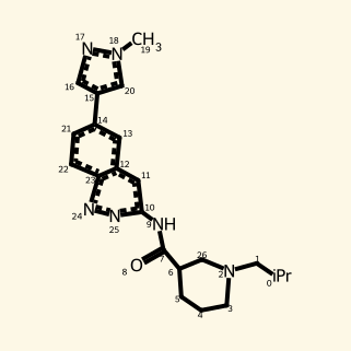 CC(C)CN1CCCC(C(=O)Nc2cc3cc(-c4cnn(C)c4)ccc3nn2)C1